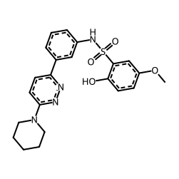 COc1ccc(O)c(S(=O)(=O)Nc2cccc(-c3ccc(N4CCCCC4)nn3)c2)c1